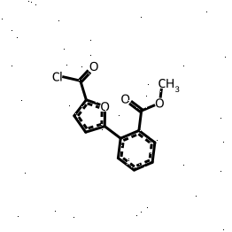 COC(=O)c1ccccc1-c1ccc(C(=O)Cl)o1